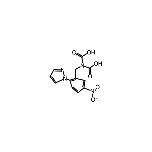 O=C(O)N(Cc1cc([N+](=O)[O-])ccc1-n1cccn1)C(=O)O